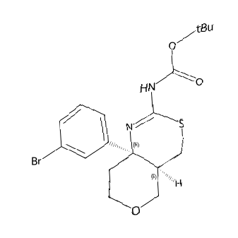 CC(C)(C)OC(=O)NC1=N[C@]2(c3cccc(Br)c3)CCOC[C@@H]2CS1